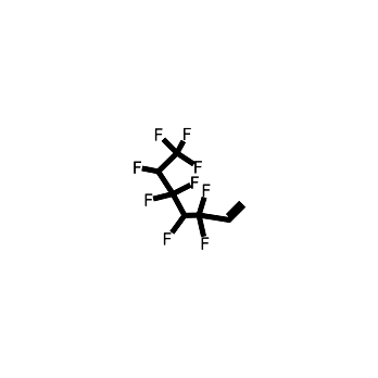 C=CC(F)(F)C(F)C(F)(F)C(F)C(F)(F)F